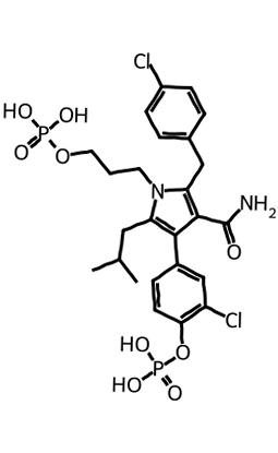 CC(C)Cc1c(-c2ccc(OP(=O)(O)O)c(Cl)c2)c(C(N)=O)c(Cc2ccc(Cl)cc2)n1CCCOP(=O)(O)O